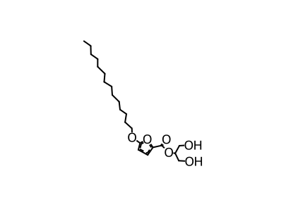 CCCCCCCCCCCCCCOc1ccc(C(=O)OC(CO)CO)o1